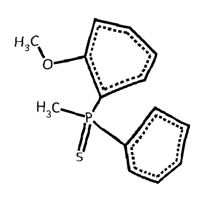 COc1ccccc1P(C)(=S)c1ccccc1